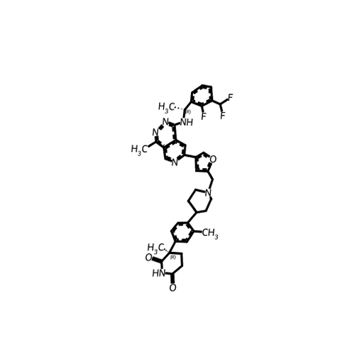 Cc1cc([C@@]2(C)CCC(=O)NC2=O)ccc1C1CCN(Cc2cc(-c3cc4c(N[C@H](C)c5cccc(C(F)F)c5F)nnc(C)c4cn3)co2)CC1